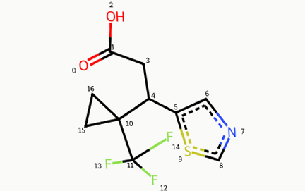 O=C(O)CC(c1cncs1)C1(C(F)(F)F)CC1